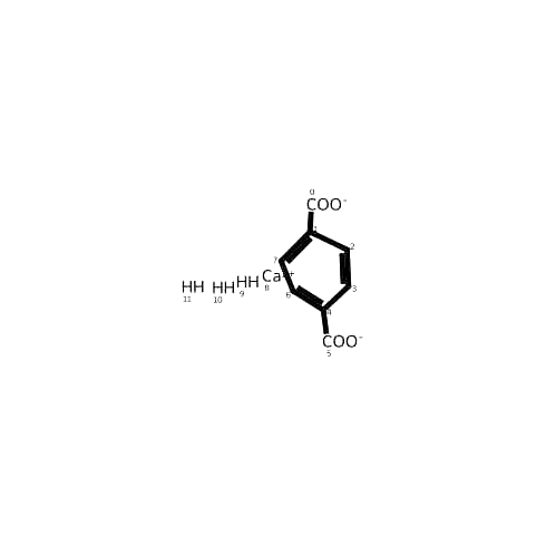 O=C([O-])c1ccc(C(=O)[O-])cc1.[Ca+2].[HH].[HH].[HH]